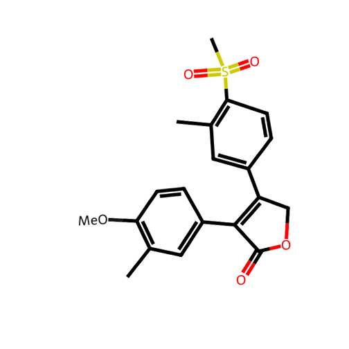 COc1ccc(C2=C(c3ccc(S(C)(=O)=O)c(C)c3)COC2=O)cc1C